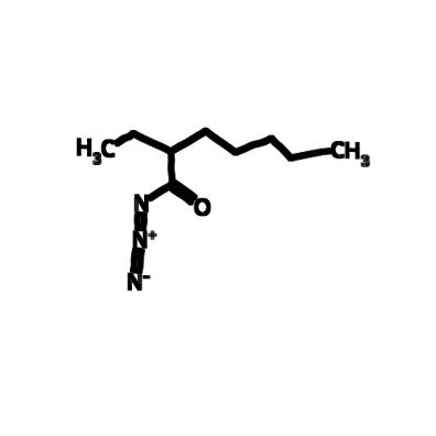 CCCCCC(CC)C(=O)N=[N+]=[N-]